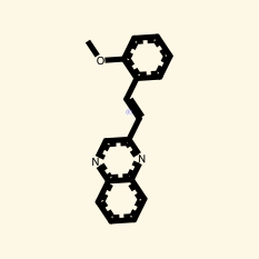 COc1ccccc1/C=C/c1cnc2ccccc2n1